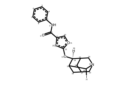 O=C(Nc1ccccc1)c1coc(O[C@H]2C3CC4CC2C(I)N(C4)C3)n1